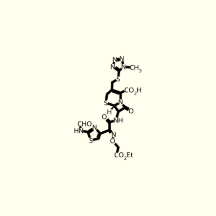 CCOC(=O)CON=C(C(=O)NC1C(=O)N2C(C(=O)O)=C(CSc3nnnn3C)CS[C@@H]12)c1csc(NC=O)n1